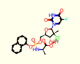 CC(C)OC(=O)[C@@H](C)N[P@](=O)(OC[C@H]1O[C@@H](n2cc(F)c(=O)[nH]c2=O)[C@](C)(Cl)[C@@H]1O)Oc1cccc2ccccc12